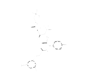 CC(C)[C@H](NC(=O)[C@@H](NC(=O)COc1cc(Cl)cc(Cl)c1)c1ccc(Cl)cc1)C(=O)C(F)(F)C(=O)NCC(F)(F)F